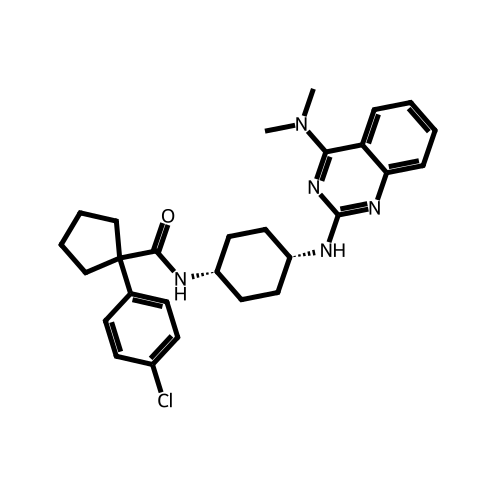 CN(C)c1nc(N[C@H]2CC[C@@H](NC(=O)C3(c4ccc(Cl)cc4)CCCC3)CC2)nc2ccccc12